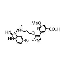 COc1cc(C(=O)O)cc(-c2cnn(C)c2OCCC[C@@H](C)Cn2c(=N)[nH]c3ccc(Br)cc32)n1